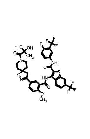 COc1ccc(C2=NOC3(CCN(C(=O)C(C)(C)O)CC3)C2)cc1C(=O)Nc1c(C(=O)Nc2ccc(F)c(C(F)(F)F)c2)sc2cc(C(F)(F)F)ccc12